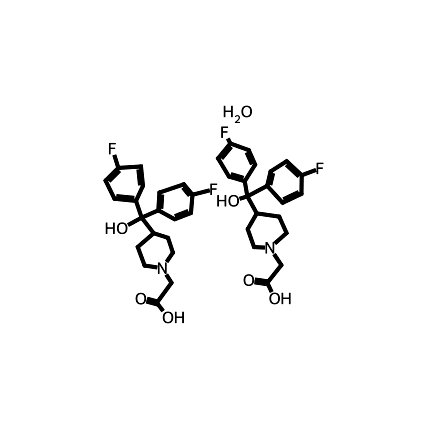 O.O=C(O)CN1CCC(C(O)(c2ccc(F)cc2)c2ccc(F)cc2)CC1.O=C(O)CN1CCC(C(O)(c2ccc(F)cc2)c2ccc(F)cc2)CC1